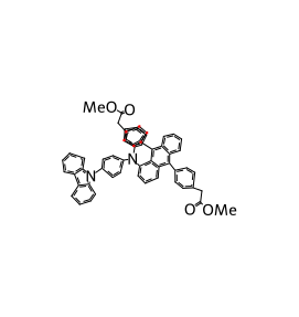 COC(=O)Cc1ccc(-c2c3ccccc3c(-c3ccc(CC(=O)OC)cc3)c3c(N(c4ccccc4)c4ccc(-n5c6ccccc6c6ccccc65)cc4)cccc23)cc1